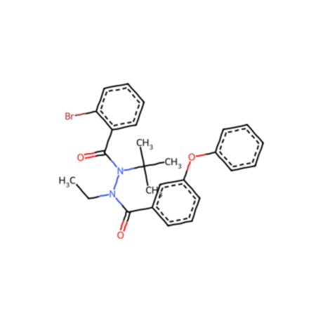 CCN(C(=O)c1cccc(Oc2ccccc2)c1)N(C(=O)c1ccccc1Br)C(C)(C)C